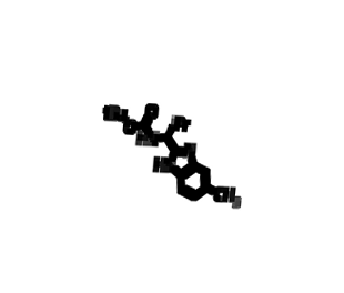 Cc1ccc2[nH]c([C@@H](NC(=O)OC(C)(C)C)C(C)C)nc2c1